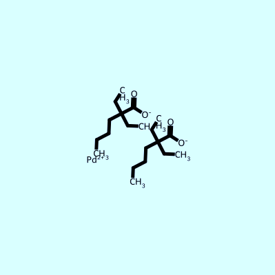 CCCCC(CC)(CC)C(=O)[O-].CCCCC(CC)(CC)C(=O)[O-].[Pd+2]